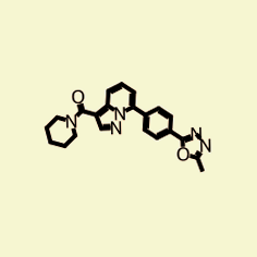 Cc1nnc(-c2ccc(-c3cccc4c(C(=O)N5CCCCC5)cnn34)cc2)o1